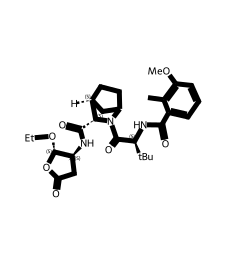 CCO[C@H]1OC(=O)C[C@@H]1NC(=O)[C@@H]1[C@H]2CCC(C2)N1C(=O)[C@@H](NC(=O)c1cccc(OC)c1C)C(C)(C)C